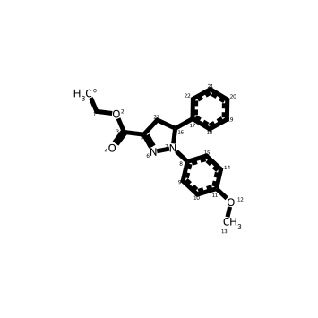 CCOC(=O)C1=NN(c2ccc(OC)cc2)C(c2ccccc2)C1